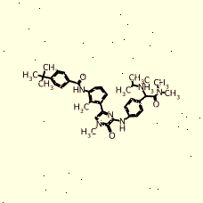 Cc1c(NC(=O)c2ccc(C(C)(C)C)cc2)cccc1-c1cn(C)c(=O)c(Nc2ccc(C(C(=O)N(C)C)N(C)C(C)C)cc2)n1